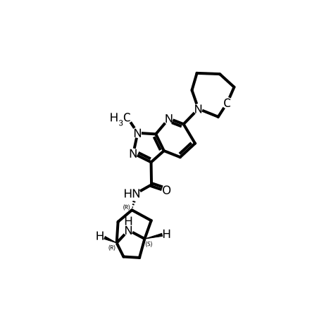 Cn1nc(C(=O)N[C@H]2C[C@H]3CC[C@@H](C2)N3)c2ccc(N3CCCCCC3)nc21